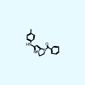 Cc1ccc(Nc2cc3n(n2)CCN3C(=O)c2ccccc2)cc1